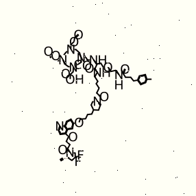 C#C[C@H]1CC(F)(F)CN1C(=O)CCC(=O)c1ccnc2ccc(OCCCCC3CCN(C(=O)CCCCCNC(=O)C(CCOCCNC(=O)CCCc4ccc(C)cc4)NC(=O)CN4CCN(COC=O)CCN(COC=O)CCN(CC(=O)O)CC4)CC3)cc12